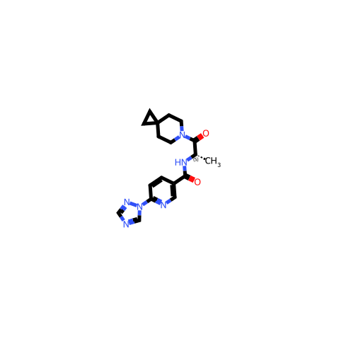 C[C@H](NC(=O)c1ccc(-n2cncn2)nc1)C(=O)N1CCC2(CC1)CC2